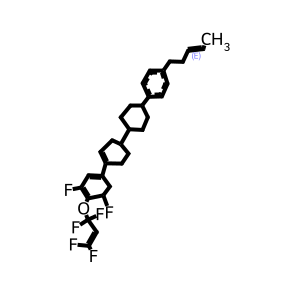 C/C=C/CCc1ccc(C2CCC(C3CC=C(C4=CC(F)=C(OC(F)(F)C=C(F)F)C(F)C4)CC3)CC2)cc1